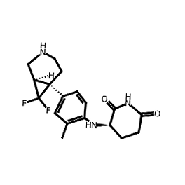 Cc1cc([C@@]23CCNC[C@@H]2C3(F)F)ccc1N[C@@H]1CCC(=O)NC1=O